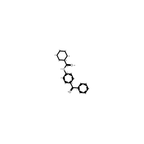 O=C(c1ccccc1)c1ccc(OC(=O)C2CCCCC2)cc1